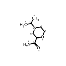 CC(C)N1CCOC(C(N)=O)C1